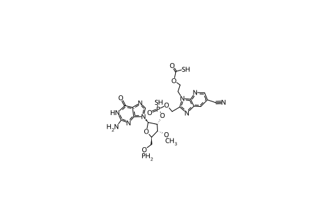 CO[C@H]1[C@@H](OP(=O)(S)OCc2nc3cc(C#N)cnc3n2CCOC(=O)S)[C@H](n2cnc3c(=O)[nH]c(N)nc32)O[C@@H]1COP